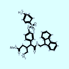 COC(=O)CC(CN)C(C(=O)OCC1c2ccccc2-c2ccccc21)c1ccc(OS(=O)(=O)c2ccc(C)cc2)cc1